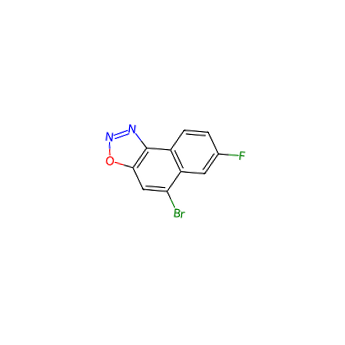 Fc1ccc2c(c1)c(Br)cc1onnc12